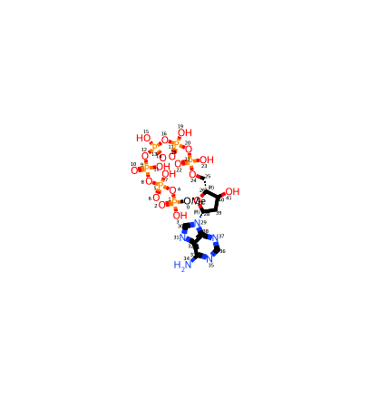 COP(=O)(O)OP(=O)(O)OP(=O)(O)OP(=O)(O)OP(=O)(O)OP(=O)(O)OC[C@H]1O[C@@H](n2cnc3c(N)ncnc32)CC1O